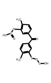 Cc1ccc(C(=O)c2ccc(C)c(SOOO)c2)cc1OS(=O)O